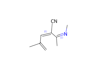 C=C(C)/C=C(C#N)\C(C)=N/C